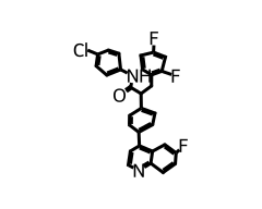 O=C(Nc1ccc(Cl)cc1)C(Cc1ccc(F)cc1F)c1ccc(-c2ccnc3ccc(F)cc23)cc1